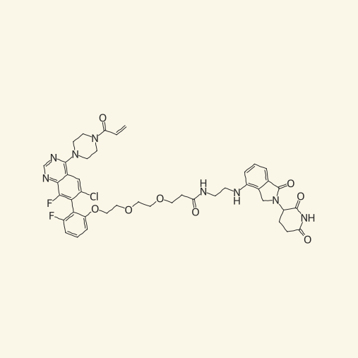 C=CC(=O)N1CCN(c2ncnc3c(F)c(-c4c(F)cccc4OCCOCCOCCC(=O)NCCNc4cccc5c4CN(C4CCC(=O)NC4=O)C5=O)c(Cl)cc23)CC1